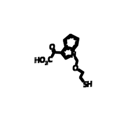 O=C(O)C(=O)c1cn(COCCS)c2ccccc12